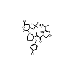 C[C@H](N)C(=O)N[C@@H](CO)C(=O)N(C)[C@@]1(Cc2ccc(Cl)cc2)CCCN(C(=O)[C@@H](CC(=O)O)CC(F)(F)F)C1